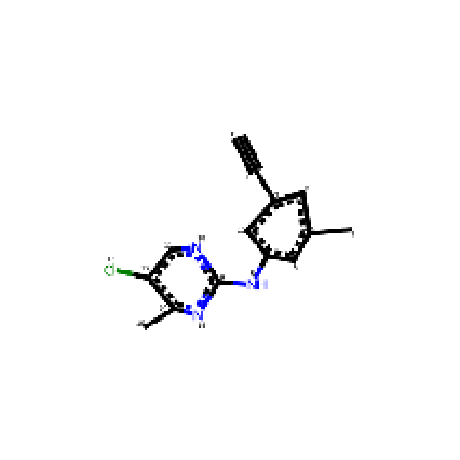 C#Cc1cc(C)cc(Nc2ncc(Cl)c(C)n2)c1